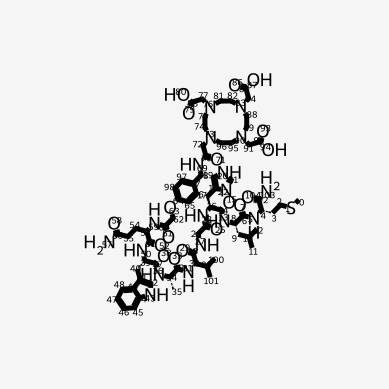 CSCC[C@H](NC(=O)[C@H](CC(C)C)NC(=O)[C@H](Cc1c[nH]cn1)NC(=O)CNC(=O)[C@@H](NC(=O)[C@H](C)NC(=O)[C@H](Cc1c[nH]c2ccccc12)NC(=O)C(CCC(N)=O)NC(=O)COc1ccc(CNC(=O)CN2CCN(CC(=O)O)CCN(CC(=O)O)CCN(CC(=O)O)CC2)cc1)C(C)C)C(N)=O